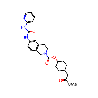 COC(=O)CC1CCC(OC(=O)N2CCc3cc(NC(=O)Nc4ccccn4)ccc3C2)CC1